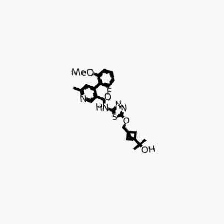 COc1cccc(F)c1-c1cc(C)ncc1C(=O)Nc1nnc(OCC23CC(C(C)(C)O)(C2)C3)s1